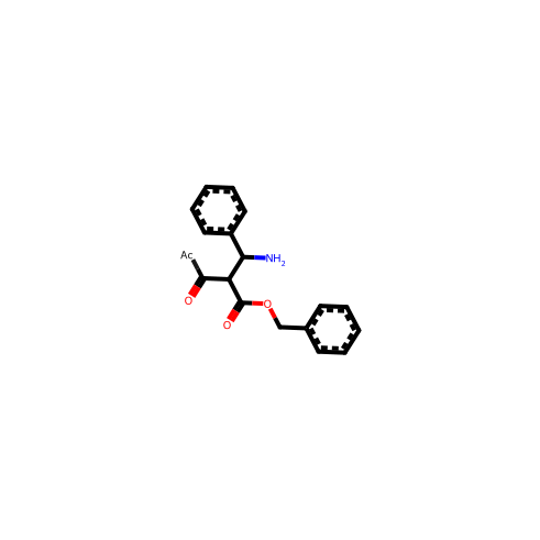 CC(=O)C(=O)C(C(=O)OCc1ccccc1)C(N)c1ccccc1